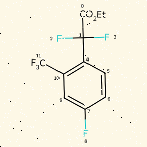 CCOC(=O)C(F)(F)c1ccc(F)cc1C(F)(F)F